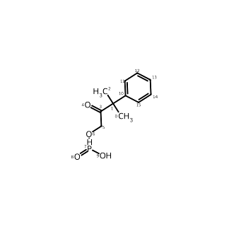 CC(C)(C(=O)CO[PH](=O)O)c1ccccc1